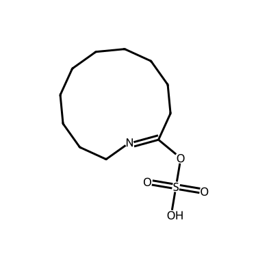 O=S(=O)(O)O/C1=N\CCCCCCCCCC1